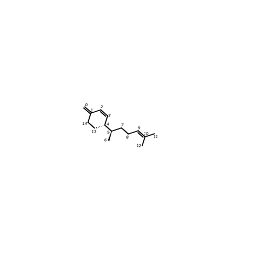 C=C1C=C[C@H]([C@H](C)CCC=C(C)C)CC1